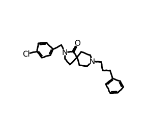 O=C1N(Cc2ccc(Cl)cc2)CCC12CCN(CCCc1ccccc1)CC2